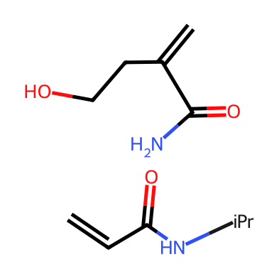 C=C(CCO)C(N)=O.C=CC(=O)NC(C)C